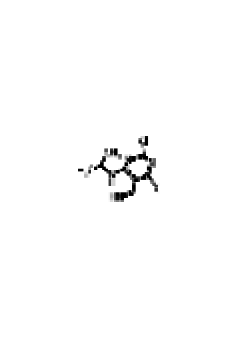 CC(C)Nc1nc(Cl)nc(Cl)c1C=N